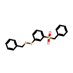 O=S(=O)(Cc1ccccc1)c1cccc(SSCc2ccccc2)c1